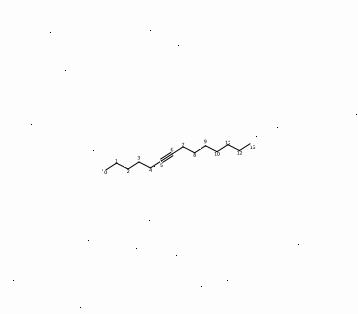 [CH2]CCCCC#CCCCCCCC